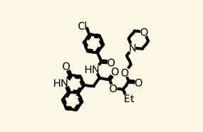 CCC(OC(=O)C(Cc1cc(=O)[nH]c2ccccc12)NC(=O)c1ccc(Cl)cc1)C(=O)OCCN1CCOCC1